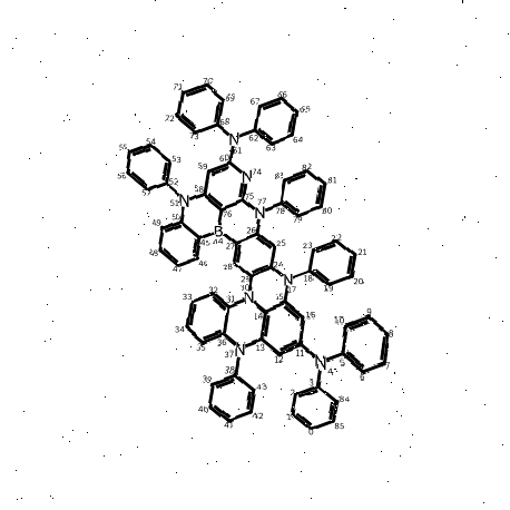 c1ccc(N(c2ccccc2)c2cc3c4c(c2)N(c2ccccc2)c2cc5c(cc2N4c2ccccc2N3c2ccccc2)B2c3ccccc3N(c3ccccc3)c3cc(N(c4ccccc4)c4ccccc4)nc(c32)N5c2ccccc2)cc1